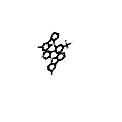 Cc1ccc2c(c1)c1ccccc1n2-c1cnccc1-c1ccc(C(F)(F)F)cc1-n1c2ccccc2c2cc(C)ccc21